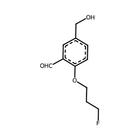 O=Cc1cc(CO)ccc1OCCCF